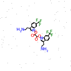 NCCc1cn(OC(=O)C(=O)On2cc(CCN)c3ccc(C(F)(F)F)cc32)c2cc(C(F)(F)F)ccc12